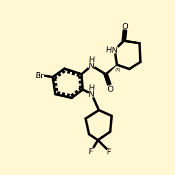 O=C1CCC[C@@H](C(=O)Nc2cc(Br)ccc2NC2CCC(F)(F)CC2)N1